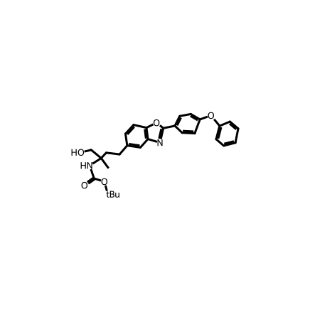 CC(CO)(CCc1ccc2oc(-c3ccc(Oc4ccccc4)cc3)nc2c1)NC(=O)OC(C)(C)C